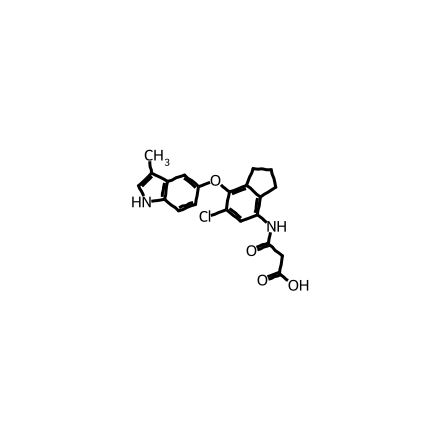 Cc1c[nH]c2ccc(Oc3c(Cl)cc(NC(=O)CC(=O)O)c4c3CCC4)cc12